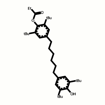 CCC(=O)Oc1c(C(C)(C)C)cc(CCCCCCc2cc(C(C)(C)C)c(O)c(C(C)(C)C)c2)cc1C(C)(C)C